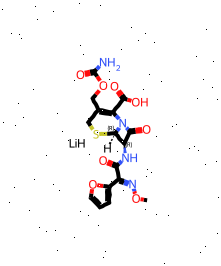 CON=C(C(=O)N[C@@H]1C(=O)N2C(C(=O)O)=C(COC(N)=O)CS[C@H]12)c1ccco1.[LiH]